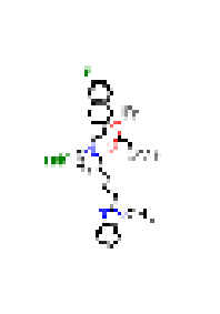 COCC(=O)O[C@]1(CCN(C)CCCCCc2nc3ccccc3n2C)CCc2cc(F)ccc2[C@@H]1C(C)C.Cl.Cl